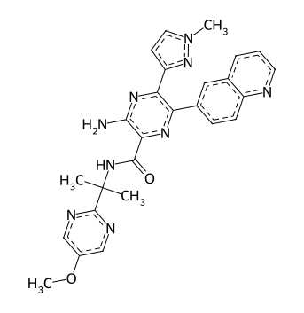 COc1cnc(C(C)(C)NC(=O)c2nc(-c3ccc4ncccc4c3)c(-c3ccn(C)n3)nc2N)nc1